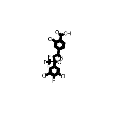 O=C(O)c1ccc(C2=NO[C@@](c3cc(Cl)c(F)c(Cl)c3)(C(F)(F)F)C2)cc1Cl